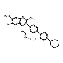 CCOC(=O)OCOc1c(-c2ccc(-c3ccc(C4CCCCC4)cc3)cc2)c(C)nc2cc(OC)c(F)cc12